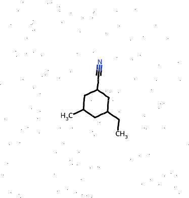 CCC1CC(C)CC(C#N)C1